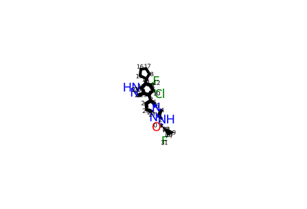 O=C(Nc1cn2cc(-c3c(Cl)c(F)c(C4CCCC4)c4[nH]ncc34)ccc2n1)[C@@H]1C[C@@H]1F